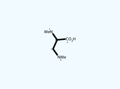 CNCC(NC)C(=O)O